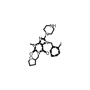 Cn1c(=O)n(CC2CCCO2)c(=O)c2c1nc(N1CCNCC1)n2Cc1ccccc1I